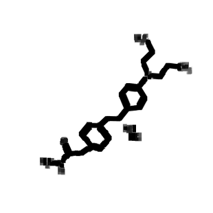 CCCN(CCC)c1ccc(CCc2ccc(CC(=O)NN)cc2)cc1.Cl.Cl